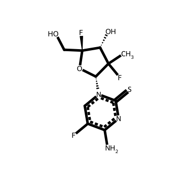 CC1(F)[C@@H](O)[C@@](F)(CO)O[C@H]1n1cc(F)c(N)nc1=S